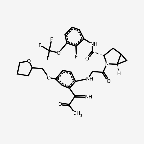 CC(=O)C(=N)c1cc(OCC2CCCO2)ccc1NCC(=O)N1[C@@H]2CC2C[C@H]1C(=O)Nc1cccc(OC(F)(F)F)c1F